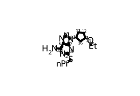 CCCSc1nc(N)c2nnn([C@H]3CC[C@@H](OCC)C3)c2n1